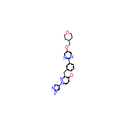 Cn1cc(-n2ccc(=O)c(Cc3cccc(-c4ncc(OCC5CCOCC5)cn4)c3)n2)cn1